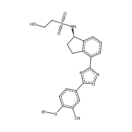 CC(C)Oc1ccc(-c2nc(-c3cccc4c3CC[C@H]4NS(=O)(=O)CCO)no2)cc1C#N